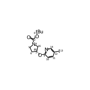 CC(C)(C)OC(=O)N1CC[C@@H](Oc2ccc(I)cn2)C1